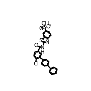 CS(=O)(=O)c1ccc2nc(NC(=O)c3ccc(Cl)c(-c4ccc(-c5ccccc5)cc4)c3)sc2c1